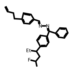 C=CCCc1ccc(C=NN=C(c2ccccc2)c2ccc(C(CC)CC(C)F)cc2)cc1